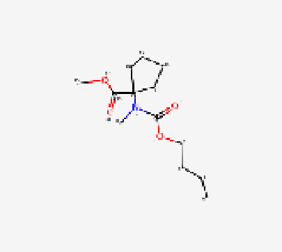 CCCCOC(=O)N(C)C1(C(=O)OC)CCCC1